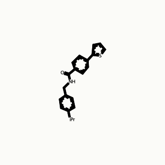 CC(C)c1ccc(CNC(=O)c2ccc(-c3cccs3)cc2)cc1